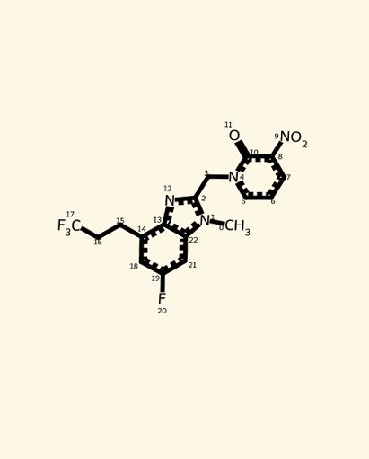 Cn1c(Cn2cccc([N+](=O)[O-])c2=O)nc2c(CCC(F)(F)F)cc(F)cc21